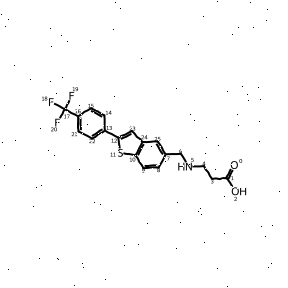 O=C(O)CCNCc1ccc2sc(-c3ccc(C(F)(F)F)cc3)cc2c1